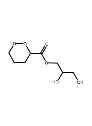 O=C(OCC(O)CO)C1CCCOO1